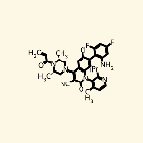 C=CC(=O)N1[C@H](C)CN(c2c(C#N)c(=O)n(-c3c(C)ccnc3C(C)C)c3cc(-c4c(N)cc(F)cc4F)c(Cl)cc23)C[C@@H]1C